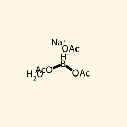 CC(=O)O[BH-](OC(C)=O)OC(C)=O.O.[Na+]